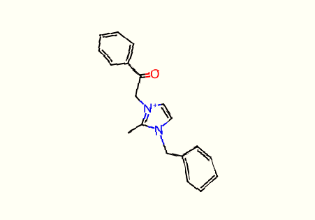 Cc1n(Cc2ccccc2)cc[n+]1CC(=O)c1ccccc1